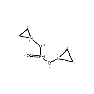 O=[PH](ON1CC1)ON1CC1